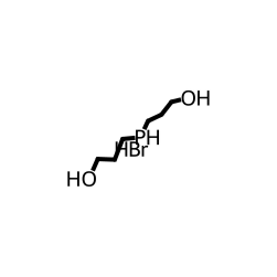 Br.OCCCPCCCO